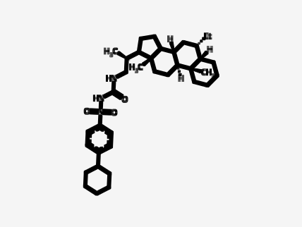 CC[C@H]1C[C@H]2C3CCC([C@H](C)CNC(=O)NS(=O)(=O)c4ccc(C5CCCCC5)cc4)[C@@]3(C)CC[C@@H]2[C@@]2(C)CCCC[C@@H]12